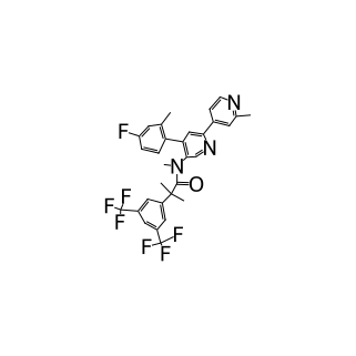 Cc1cc(-c2cc(-c3ccc(F)cc3C)c(N(C)C(=O)C(C)(C)c3cc(C(F)(F)F)cc(C(F)(F)F)c3)cn2)ccn1